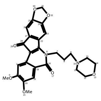 COc1cc2c3c(n(CCCN4CCOCC4)c(=O)c2cc1OC)-c1cc2c(cc1C3=O)OCO2